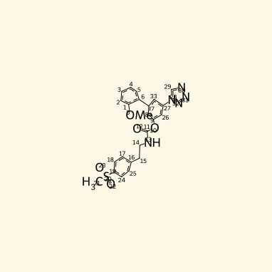 COc1ccccc1-c1cc(OC(=O)NCCc2ccc(S(C)(=O)=O)cc2)cc(-n2cnnn2)c1